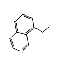 NCc1cccc2ccncc12